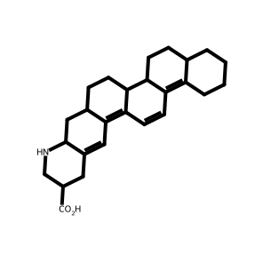 O=C(O)C1CNC2CC3CCC4C(=C3C=C2C1)C=CC1=C2CCCCC2CCC14